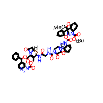 CC[N+]1(c2ccccc2NC(=O)OCC(C(=O)OC)(c2ccccc2)c2ccccc2NC(=O)OC(C)(C)C)CCN(C(=O)NCC(=O)N[C@H]2S[C@H]3CC(=O)N3C(C(=O)OC(c3ccccc3)c3ccccc3)=C2COC(N)=O)C(=O)C1=O